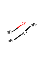 CCC[O-].CC[CH2][Al+][CH2]CC